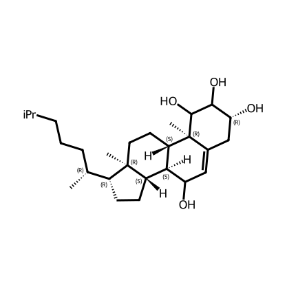 CC(C)CCC[C@@H](C)[C@H]1CC[C@H]2[C@@H]3C(O)C=C4C[C@@H](O)C(O)C(O)[C@]4(C)[C@H]3CC[C@]12C